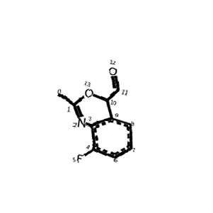 CC1=Nc2c(F)cccc2C(C=O)O1